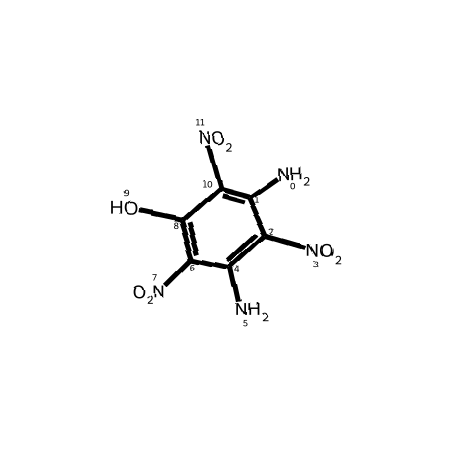 Nc1c([N+](=O)[O-])c(N)c([N+](=O)[O-])c(O)c1[N+](=O)[O-]